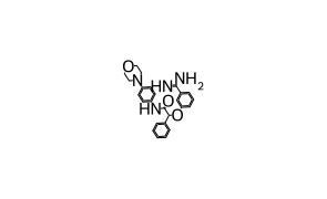 N=C(N)c1cccc(OC(C(=O)Nc2ccc(N3CCOCC3)cc2)c2ccccc2)c1